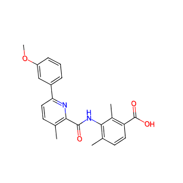 COc1cccc(-c2ccc(C)c(C(=O)Nc3c(C)ccc(C(=O)O)c3C)n2)c1